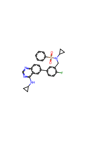 O=S(=O)(c1ccccc1)N(Cc1cc(-c2ccc3ncnc(NC4CC4)c3c2)ccc1F)C1CC1